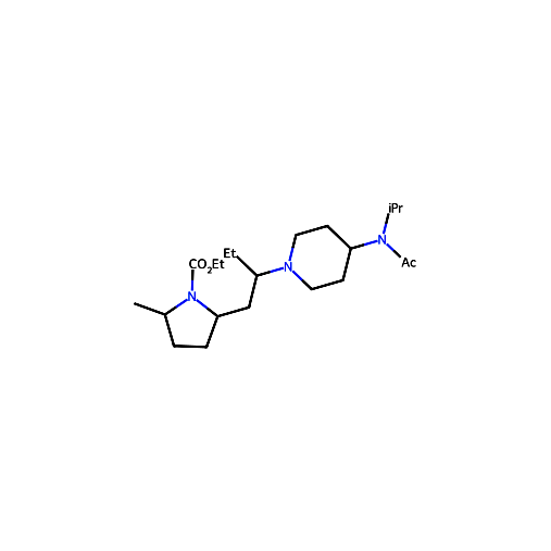 CCOC(=O)N1C(C)CCC1CC(CC)N1CCC(N(C(C)=O)C(C)C)CC1